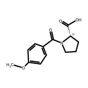 COc1ccc(C(=O)N2CCC[C@H]2C(=O)O)cc1